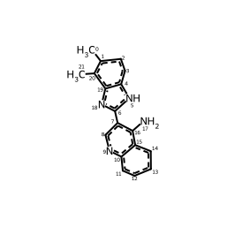 Cc1ccc2[nH]c(-c3cnc4ccccc4c3N)nc2c1C